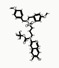 COc1ccc(CN(Cc2ccc(OC)cc2)S(=O)(=O)CCCN(C(=O)OC(C)(C)C)c2cc3cc(I)c(Br)cc3cn2)cc1